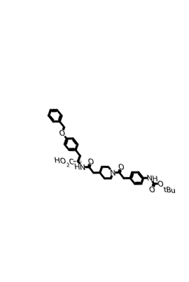 CC(C)(C)OC(=O)Nc1ccc(CC(=O)N2CCC(CC(=O)N[C@@H](Cc3ccc(OCc4ccccc4)cc3)C(=O)O)CC2)cc1